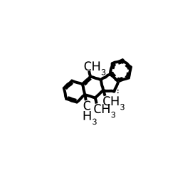 CC1=C2C=CC=CC2(C)C(C)C2(C)[C]c3ccccc3C12